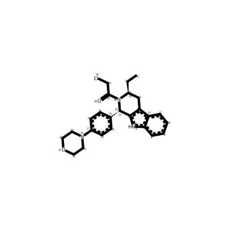 CC[C@H]1Cc2c([nH]c3ccccc23)[C@H](c2ccc(N3CCOCC3)cc2)N1C(=O)CCl